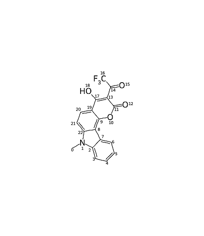 Cn1c2ccccc2c2c3oc(=O)c(C(=O)C(F)(F)F)c(O)c3ccc21